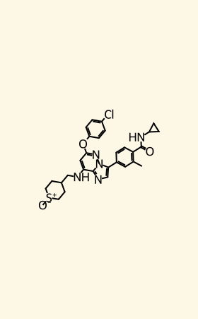 Cc1cc(-c2cnc3c(NCC4CC[S+]([O-])CC4)cc(Oc4ccc(Cl)cc4)nn23)ccc1C(=O)NC1CC1